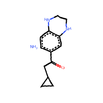 N.O=C(CC1CC1)c1ccc2c(c1)NCCN2